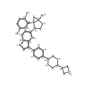 Fc1ccc(F)c([C@@]23C[C@@H]2CCN3c2ccn3ncc(-c4ccc(N5CCC(C6COC6)CC5)cn4)c3n2)c1